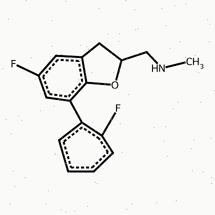 CNCC1Cc2cc(F)cc(-c3ccccc3F)c2O1